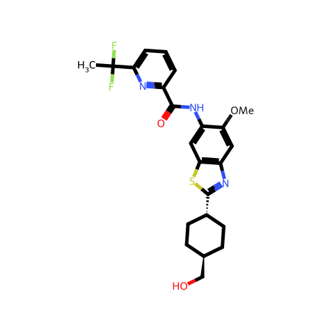 COc1cc2nc([C@H]3CC[C@H](CO)CC3)sc2cc1NC(=O)c1cccc(C(C)(F)F)n1